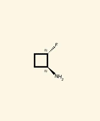 N[C@H]1CC[C@@H]1F